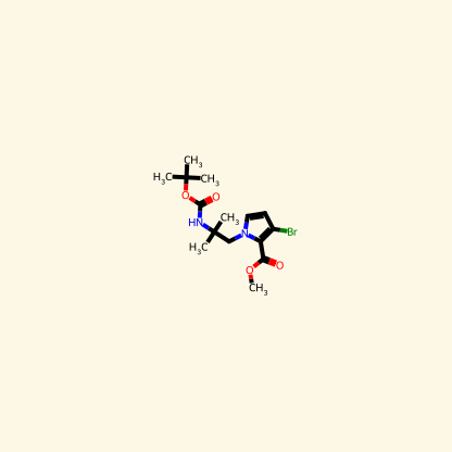 COC(=O)c1c(Br)ccn1CC(C)(C)NC(=O)OC(C)(C)C